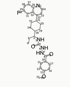 CCC(NC(=O)NNC(=O)c1ccc(OC)cc1)C1CCC(c2ccnc3ccc(F)cc23)CC1